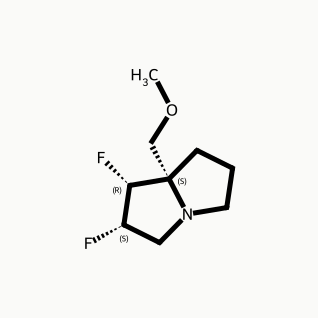 COC[C@]12CCCN1C[C@H](F)[C@@H]2F